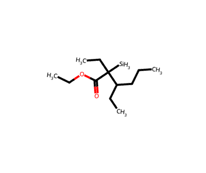 CCCC(CC)C([SiH3])(CC)C(=O)OCC